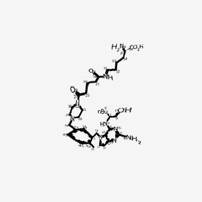 CCCC[C@@H](CO)Nc1nc(N)nc2ccn(Cc3cc(CN4CCN(C(=O)CCCC(=O)NCCCC[C@H](N)C(=O)O)CC4)ccc3C)c12